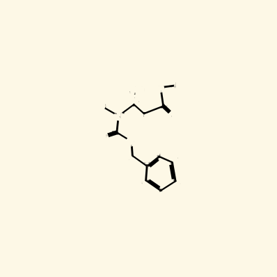 CCSC(=O)C[C@@H](C(=O)O)N(C)C(=O)OCc1ccccc1